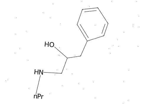 CCCNCC(O)Cc1ccccc1